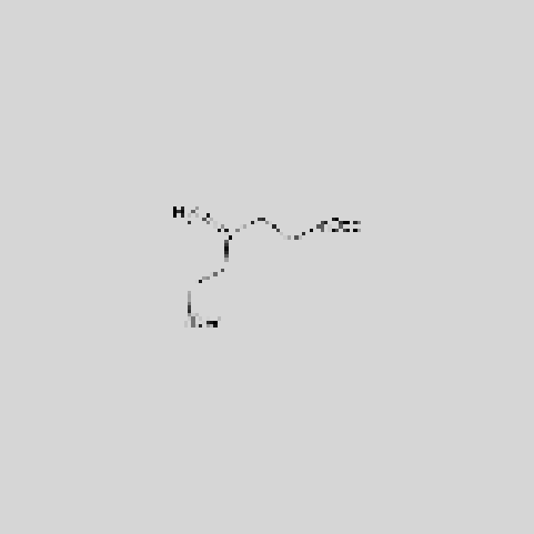 C=[N+](CCCCCCCCCCCC)CCCCCCCCCCCC